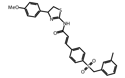 COc1ccc(C2CSC(NC(=O)/C=C/c3ccc(S(=O)(=O)Cc4cccc(C)c4)cc3)=N2)cc1